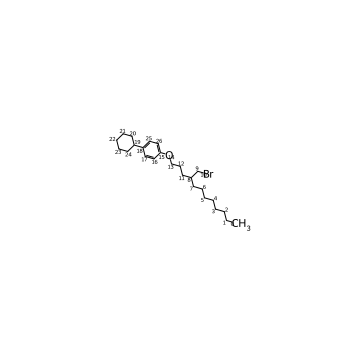 CCCCCCCCC(CBr)CCCOc1ccc(C2CCCCC2)cc1